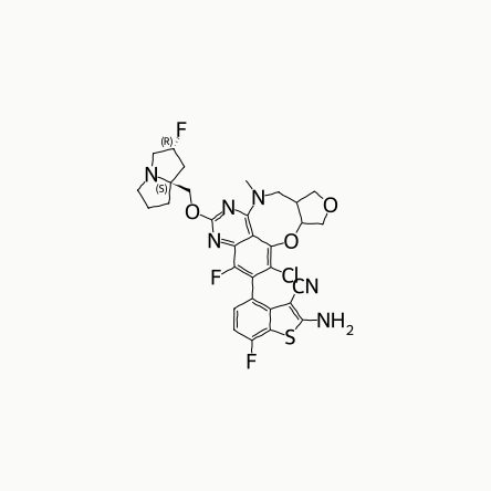 CN1CC2COCC2Oc2c(Cl)c(-c3ccc(F)c4sc(N)c(C#N)c34)c(F)c3nc(OC[C@@]45CCCN4C[C@H](F)C5)nc1c23